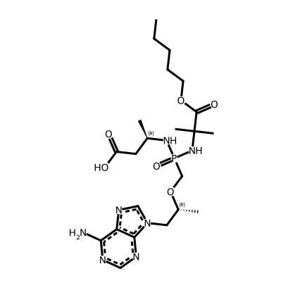 CCCCCOC(=O)C(C)(C)NP(=O)(CO[C@H](C)Cn1cnc2c(N)ncnc21)N[C@H](C)CC(=O)O